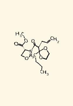 C=CCC(C(=O)N1[C@H](CCCC)OC[C@@H]1C(=O)OC)C1(C)OCCO1